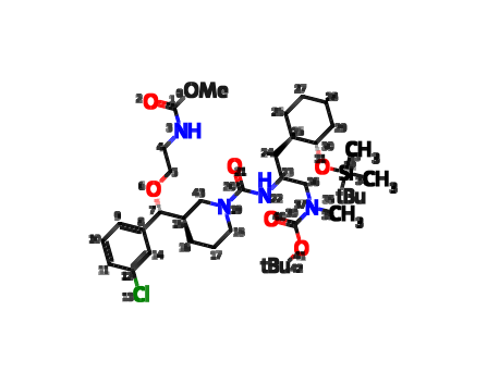 COC(=O)NCCO[C@@H](c1cccc(Cl)c1)[C@@H]1CCCN(C(=O)NC(C[C@H]2CCCC[C@@H]2O[Si](C)(C)C(C)(C)C)CN(C)C(=O)OC(C)(C)C)C1